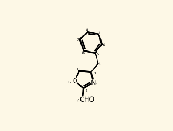 O=CC1=N[C@H](Cc2ccccc2)CO1